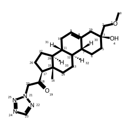 COC[C@]1(O)CC[C@H]2C(=CC[C@@H]3[C@@H]2CC[C@]2(C)[C@@H](C(=O)Cn4ncnn4)CC[C@@H]32)C1